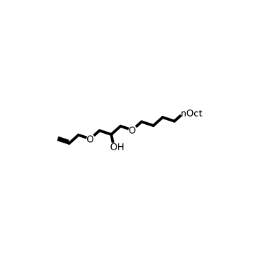 C=CCOCC(O)COCCCCCCCCCCCC